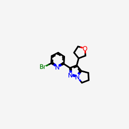 Brc1cccc(-c2nn3c(c2C2CCOC2)CCC3)n1